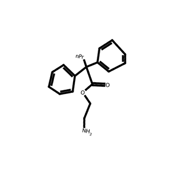 CCCC(C(=O)OCCN)(c1ccccc1)c1ccccc1